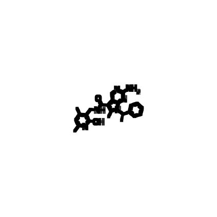 Cc1cc(C)c(CNC(=O)c2c(C)n([C@H](C)c3ccccc3)c3nc(N)ncc23)c(O)n1